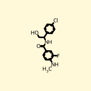 CNc1ccc(C(=O)NC(CO)c2ccc(Cl)cc2)cc1F